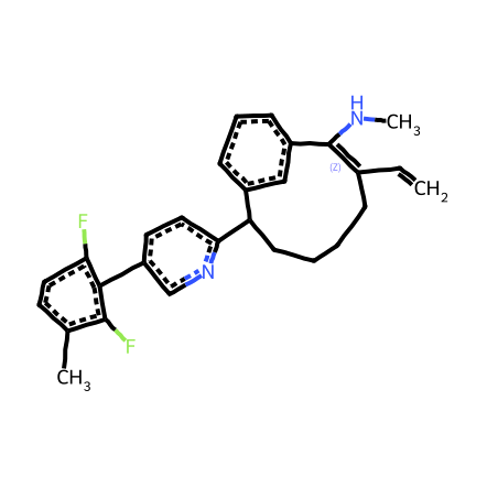 C=C/C1=C(\NC)c2cccc(c2)C(c2ccc(-c3c(F)ccc(C)c3F)cn2)CCCC1